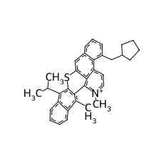 Cc1c2c(c(C(C)C)c3ccccc13)Sc1cc3cccc(CC4CCCC4)c3c3cc[n+](C)c-2c13